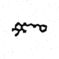 C=Cc1c(F)ccc(OCCOCc2ccccc2)c1Br